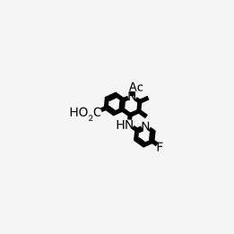 CC(=O)N1c2ccc(C(=O)O)cc2C(Nc2ccc(F)cn2)C(C)C1C